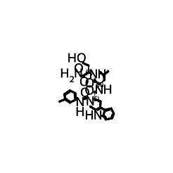 Cc1cccc(NC(=O)N2Cc3[nH]c4ccccc4c3C[C@H]2C(=O)N[C@H](CC(C)C)C(=O)N[C@H](CC(=O)O)C(N)=O)c1